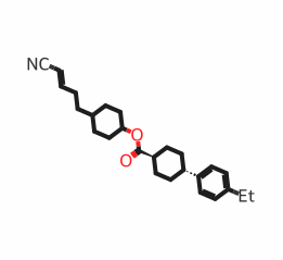 CCc1ccc([C@H]2CC[C@H](C(=O)OC3CCC(CC/C=C/C#N)CC3)CC2)cc1